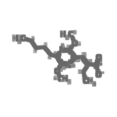 CCCCCc1nc(OC)c(/C=C(\CC)[N+](=O)[O-])nc1OC